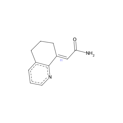 NC(=O)/C=C1\CCCc2cccnc21